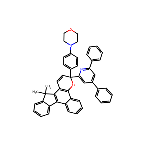 CC1(C)c2ccccc2-c2c1c1c(c3ccccc23)OC(c2ccc(N3CCOCC3)cc2)(c2cc(-c3ccccc3)cc(-c3ccccc3)n2)C=C1